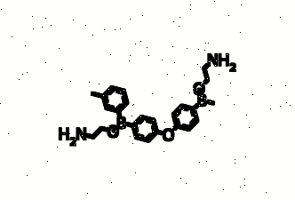 CB(OCCN)c1ccc(Oc2ccc(B(OCCN)c3cccc(C)c3)cc2)cc1